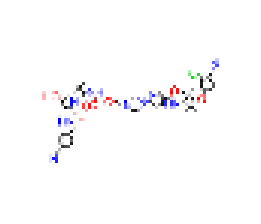 CC(C)(C)[C@H](NC(=O)COCCN1CCN(c2ccc(C(=O)N[C@H]3C(C)(C)[C@H](Oc4ccc(C#N)c(Cl)c4)C3(C)C)cn2)CC1)C(=O)N1C[C@H](O)C[C@H]1C(=O)NCc1ccc(C#N)cc1